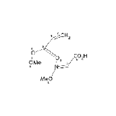 C=CC(=O)OOC.CON=CC(=O)O